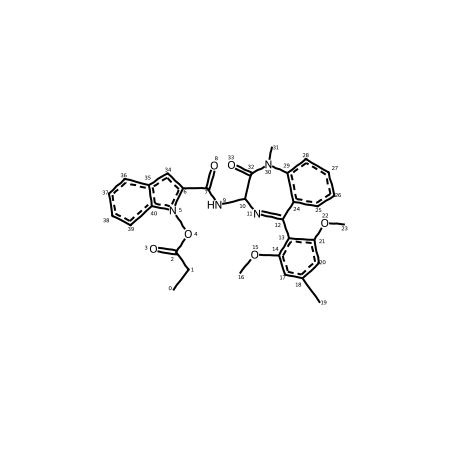 CCC(=O)On1c(C(=O)NC2N=C(c3c(OC)cc(C)cc3OC)c3ccccc3N(C)C2=O)cc2ccccc21